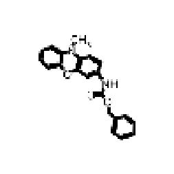 CN1c2ccccc2Oc2cc(NC(=O)OCc3ccccc3)ccc21